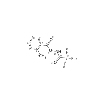 Cc1ccccc1C(=O)ONC(=O)C(F)(F)F